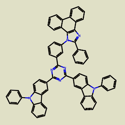 c1ccc(-c2nc3c4ccccc4c4ccccc4c3n2-c2cccc(-c3nc(-c4ccc5c(c4)c4ccccc4n5-c4ccccc4)nc(-c4ccc5c(c4)c4ccccc4n5-c4ccccc4)n3)c2)cc1